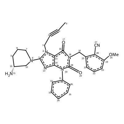 CC#CCn1c(N2CCC[C@@H](N)C2)nc2c1c(=O)n(Cc1cccc(OC)c1C#N)c(=O)n2-c1ccccc1